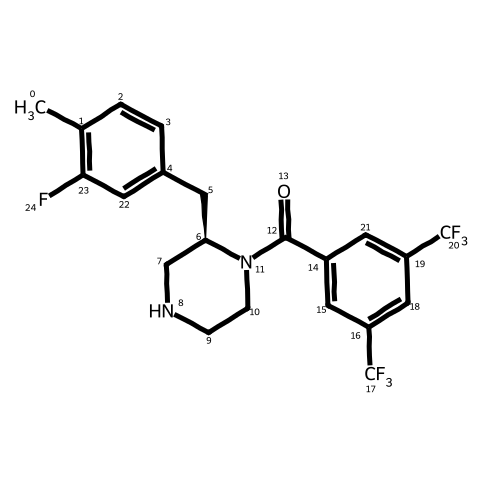 Cc1ccc(C[C@@H]2CNCCN2C(=O)c2cc(C(F)(F)F)cc(C(F)(F)F)c2)cc1F